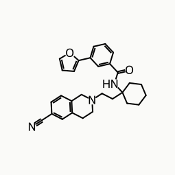 N#Cc1ccc2c(c1)CCN(CCC1(NC(=O)c3cccc(-c4ccco4)c3)CCCCC1)C2